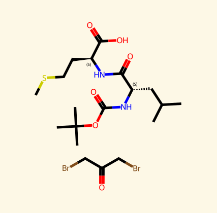 CSCC[C@H](NC(=O)[C@H](CC(C)C)NC(=O)OC(C)(C)C)C(=O)O.O=C(CBr)CBr